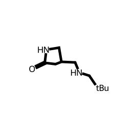 CC(C)(C)CNCC1CNC(=O)C1